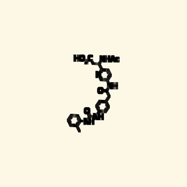 CC(=O)NC(CC(=O)O)c1ccc(NC(=O)Cc2ccc(NC(=O)Nc3ccccc3C)cc2)cn1